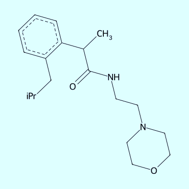 CC(C)Cc1ccccc1C(C)C(=O)NCCN1CCOCC1